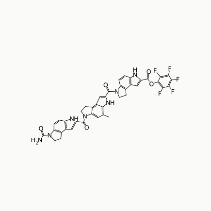 Cc1cc2c(c3cc(C(=O)N4CCc5c4ccc4[nH]c(C(=O)Oc6c(F)c(F)c(F)c(F)c6F)cc54)[nH]c13)CCN2C(=O)c1cc2c3c(ccc2[nH]1)N(C(N)=O)CC3